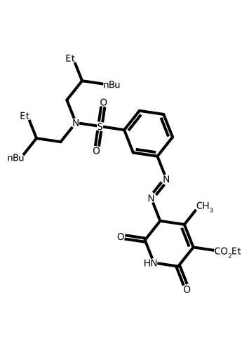 CCCCC(CC)CN(CC(CC)CCCC)S(=O)(=O)c1cccc(/N=N/C2C(=O)NC(=O)C(C(=O)OCC)=C2C)c1